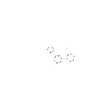 CCOC(=O)c1nc(-c2cccc(-c3ccccc3OC(F)(F)F)c2)cs1